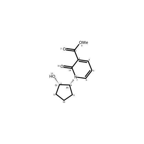 COC(=O)c1cccn([C@@H]2CCC[C@@H]2O)c1=O